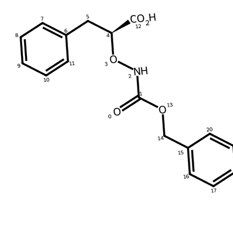 O=C(NO[C@@H](Cc1ccccc1)C(=O)O)OCc1ccccc1